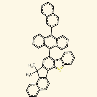 CC1(C)c2cc(-c3c4ccccc4c(-c4ccc5ccccc5c4)c4ccccc34)c3c(sc4ccccc43)c2-c2ccc3ccccc3c21